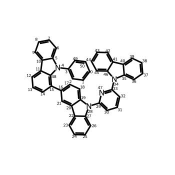 c1ccc(-n2c3ccccc3c3cccc(-c4ccc5c(c4)c4ccccc4n5-c4cccc(-n5c6ccccc6c6ccccc65)n4)c32)cc1